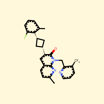 Cc1ccc2cc([C@H]3C[C@@H](c4c(C)cccc4F)C3)c(=O)n(Cc3ncccc3C(F)(F)F)c2n1